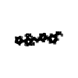 CC1C(c2cccs2)=NNN1SCc1noc(-c2cccc(N)c2)n1